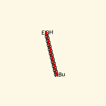 CCCCOCCOCCOCCOCCOCCOCCOCCOCCOCCOCCOCCOCCOCCOCCOCCOCCOCCOCCOCCOCC(O)CC